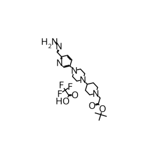 CC(C)(C)OC(=O)CN1CCC(N2CCN(c3ccc(C=NN)nc3)CC2)CC1.O=C(O)C(F)(F)F